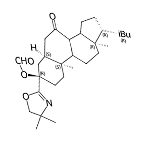 CC[C@@H](C)[C@H]1CCC2C3C(=O)C[C@@H]4C[C@@](OC=O)(C5=NC(C)(C)CO5)CC[C@]4(C)C3CC[C@@]21C